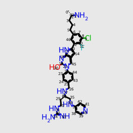 C[C@H](N)CCCc1cc(Cl)c(F)c(-c2cc3c([nH]2)=NC(O)N(c2ccc(CN[C@H](CCNC(=N)N)CNc4ccncc4)cc2)C=3)c1